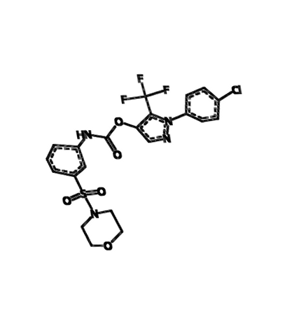 O=C(Nc1cccc(S(=O)(=O)N2CCOCC2)c1)Oc1cnn(-c2ccc(Cl)cc2)c1C(F)(F)F